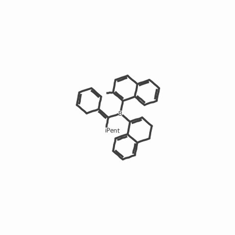 CCCC(C)/C(B(C1=CCCc2ccccc21)c1c(C)ccc2ccccc12)=C1/C=CC=CC1